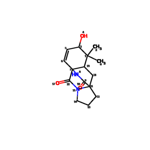 CC1(C)C(O)C=CC23NC(=O)C4(CCCN4C2=O)CC31